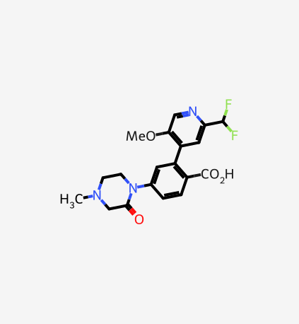 COc1cnc(C(F)F)cc1-c1cc(N2CCN(C)CC2=O)ccc1C(=O)O